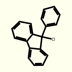 ClC1(c2ccccc2)c2ccccc2-c2ccccc21